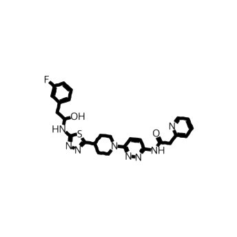 O=C(Cc1ccccn1)Nc1ccc(N2CCC(c3nnc(NC(O)Cc4cccc(F)c4)s3)CC2)nn1